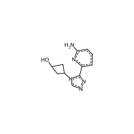 Nc1cccc(-c2nncn2C2CC(O)C2)n1